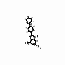 FC(F)(F)c1cc(Cl)c2nc(-c3ccc(-c4ccccn4)cc3)[nH]c2c1